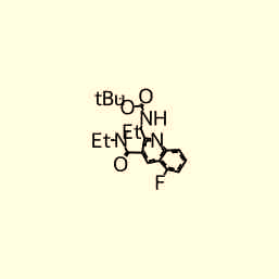 CCN(CC)C(=O)c1cc2c(F)cccc2nc1CNC(=O)OC(C)(C)C